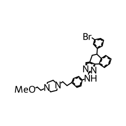 COCCN1CCN(CCc2ccc(Nc3ncc4c(n3)-c3ccccc3C(c3cccc(Br)c3)C4)cc2)CC1